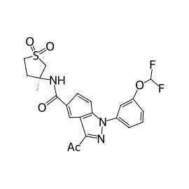 CC(=O)c1nn(-c2cccc(OC(F)F)c2)c2ccc(C(=O)N[C@@]3(C)CCS(=O)(=O)C3)cc12